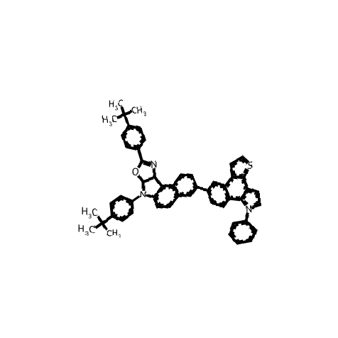 CC(C)(C)c1ccc(C2=NC3c4c(ccc5cc(-c6ccc7c(c6)c6ccsc6c6ccn(-c8ccccc8)c76)ccc45)N(c4ccc(C(C)(C)C)cc4)C3O2)cc1